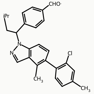 Cc1ccc(-c2ccc3c(cnn3C(CC(C)C)c3ccc([C]=O)cc3)c2C)c(Cl)c1